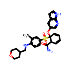 NC(=O)C1C=CC=CC1(Oc1cnc2[nH]ccc2c1)S(=O)(=O)c1ccc(NCC2CCOCC2)c([N+](=O)[O-])c1